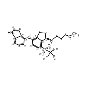 COCCC/N=C1\CCc2c(Oc3cccc4[nH]ncc34)ccc(S(=O)(=O)C(F)(F)F)c21